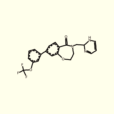 O=C1c2ccc(-c3cccc(OC(F)(F)F)c3)cc2OCCN1CC1N=CC=CN1